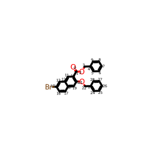 O=C(OCc1ccccc1)c1cc2cc(Br)ccc2cc1OCc1ccccc1